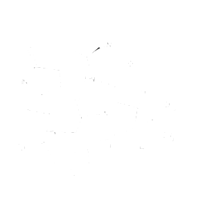 CC1(C)[C@@H]2[C@@H](C(=O)N[C@H](C#N)C[C@@H]3CC4(CC4)NC3=O)N(C(=O)C(NC(=O)C(F)(F)F)C3(C(F)(F)F)CCC3)C[C@@H]21